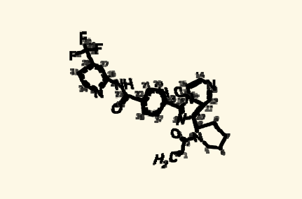 C=CC(=O)N1CCCCC1C1=C2C=NC=C[N+]2(C)C(c2ccc(C(=O)Nc3cc(C(F)(F)F)ccn3)cc2)=N1